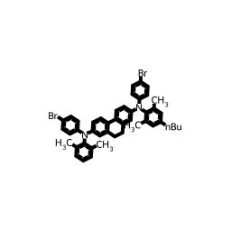 CCCCc1cc(C)c(N(c2ccc(Br)cc2)c2ccc3c(c2)CCc2cc(N(c4ccc(Br)cc4)c4c(C)cccc4C)ccc2-3)c(C)c1